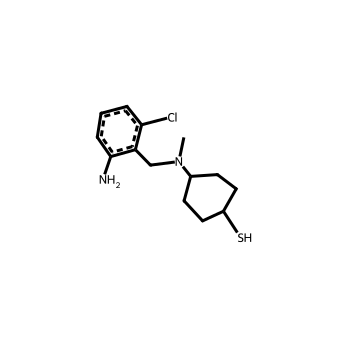 CN(Cc1c(N)cccc1Cl)C1CCC(S)CC1